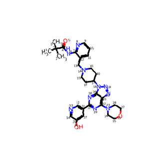 CC(C)(C)C(=O)Nc1ncccc1CN1CCC(n2nnc3c(N4CCOCC4)nc(-c4cncc(O)c4)nc32)CC1